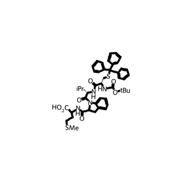 CSCCC(NC(=O)C1Cc2ccccc2N1C(=O)[C@@H](NC(=O)[C@H](CSC(c1ccccc1)(c1ccccc1)c1ccccc1)NC(=O)OC(C)(C)C)C(C)C)C(=O)O